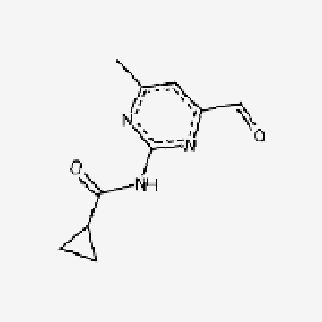 Cc1cc(C=O)nc(NC(=O)C2CC2)n1